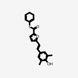 Cc1cc(/C=C/c2ccc(C(=O)SC3=CCCC=C3)o2)cc(C)c1O